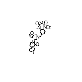 CCN1C(=O)C(C)(C)C(=O)N(C)c2cc(CN(CCn3ccc4oc(C)cc4c3=O)Cc3ccco3)ccc21